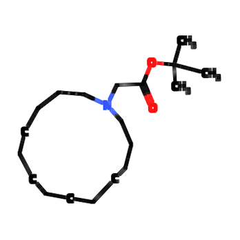 CC(C)(C)OC(=O)CN1CCCCCCCCCCCCC1